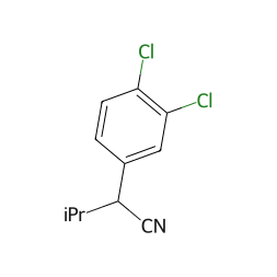 CC(C)C(C#N)c1ccc(Cl)c(Cl)c1